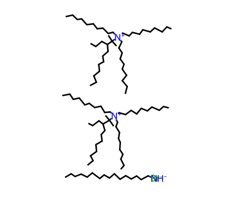 CCCCCCCCCCCCCCCC[NH-].CCCCCCCCCC[N+](CCCCCCCCCC)(CCCCCCCCCC)C(C)(C)C(CCC)CCCCCCCC.CCCCCCCCCC[N+](CCCCCCCCCC)(CCCCCCCCCC)C(C)(C)C(CCC)CCCCCCCC.[Br-]